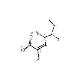 CCC(C)C(F)C=C(C)C(=O)O